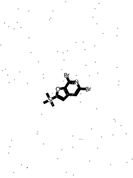 C[Si](C)(C)c1cc2cc(Br)nc(Br)c2o1